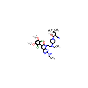 CCNc1ncc2cc(-c3c(Cl)c(OC)cc(OC)c3Cl)c(=O)n(CCN(CC)C3CCN(C(=O)/C(C#N)=C\C(C)(C)C)CC3)c2n1